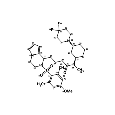 COc1cc(C)c(S(=O)(=O)N2CCn3cccc3C2CCCC(=O)N(C)[C@@H]2CCC[C@H](N3CCC(F)(F)CC3)C2)c(C)c1